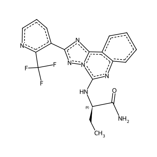 CC[C@@H](Nc1nc2ccccc2c2nc(-c3cccnc3C(F)(F)F)nn12)C(N)=O